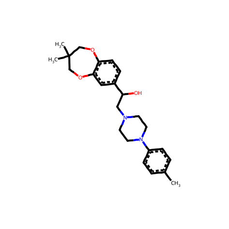 Cc1ccc(N2CCN(CC(O)c3ccc4c(c3)OCC(C)(C)CO4)CC2)cc1